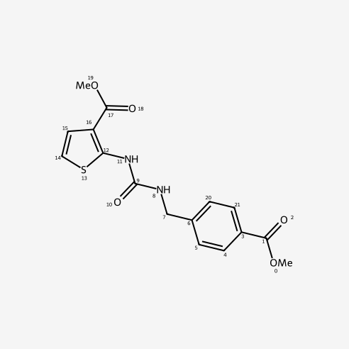 COC(=O)c1ccc(CNC(=O)Nc2sccc2C(=O)OC)cc1